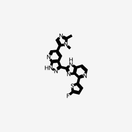 Cc1ncc(-c2cnc3[nH]nc(-c4nc5c(-c6ccc(F)s6)nccc5[nH]4)c3c2)n1C